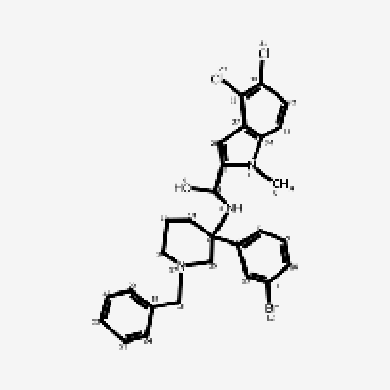 Cn1c(C(O)NC2(c3cccc(Br)c3)CCCN(Cc3ccccc3)C2)cc2c(Cl)c(Cl)ccc21